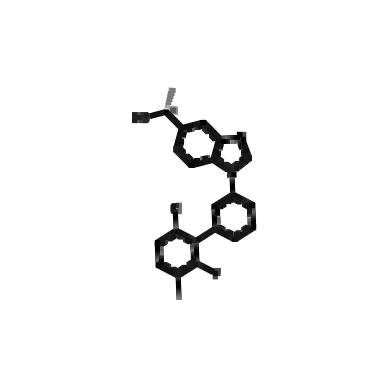 Cc1ccc(Cl)c(-c2cccc(-n3cnc4cc([C@@H](C)O)ccc43)c2)c1F